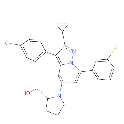 OCC1CCCN1c1cc(-c2cccc(F)c2)n2nc(C3CC3)c(-c3ccc(Cl)cc3)c2c1